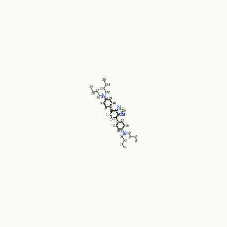 CCCCN(CCCC)c1ccc(-c2ccc(-c3ccc(N(CCCC)CCCC)cc3)c3nsnc23)cc1